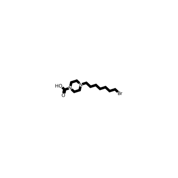 O=C(O)N1CCN(CCCCCCCBr)CC1